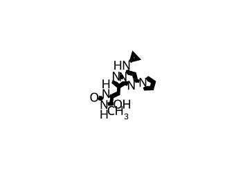 CC1(O)NC(=O)N/C1=C\c1cnn2c(NC3CC3)cc(-n3cccc3)nc12